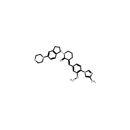 COc1cc(/C=C2\CCCN([C@H]3CCc4cc(N5CCOCC5)ccc43)C2=O)ccc1-n1cnc(C)c1